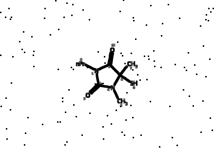 CCCN1C(=O)N(C)C(C)(S)C1=O